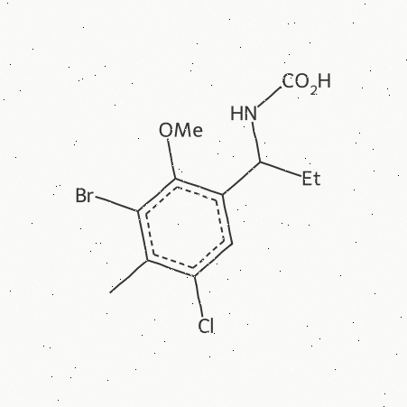 CCC(NC(=O)O)c1cc(Cl)c(C)c(Br)c1OC